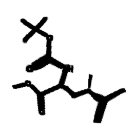 C=C(C)[C@@H](C)C[C@H](NC(=O)OC(C)(C)C)C(=O)OC